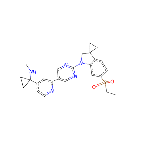 CCS(=O)(=O)c1ccc2c(c1)N(c1ncc(-c3cc(C4(NC)CC4)ccn3)cn1)CC21CC1